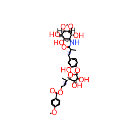 COc1ccc(C(=O)OC/C=C(\C)[C@@H]2O[C@H](Oc3ccc(/C=C(\C)C(=O)N[C@@H]4[C@H](O)[C@@H](O)[C@H]5OCO[C@H]5[C@@H]4O)cc3O)[C@@H](O)[C@@H]2O)cc1